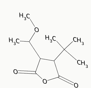 COC(C)C1C(=O)OC(=O)C1C(C)(C)C